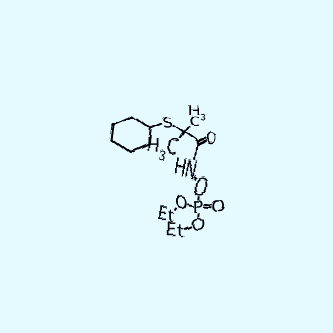 CCOP(=O)(OCC)ONC(=O)C(C)(C)SC1CCCCC1